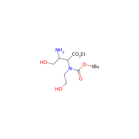 CCOC(=O)C(C(N)CO)N(CCO)C(=O)OC(C)(C)C